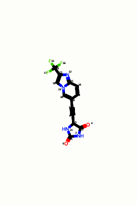 O=C1NC(=O)C(C#Cc2ccc3nc(C(F)(F)F)cn3c2)N1